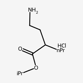 CCCC(CCN)C(=O)OC(C)C.Cl